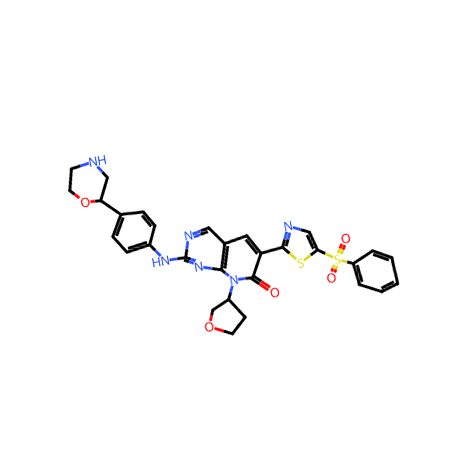 O=c1c(-c2ncc(S(=O)(=O)c3ccccc3)s2)cc2cnc(Nc3ccc(C4CNCCO4)cc3)nc2n1C1CCOC1